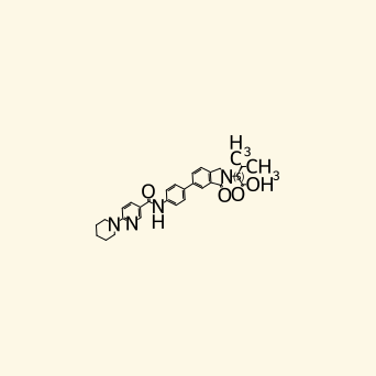 CC(C)[C@@H](C(=O)O)N1Cc2ccc(-c3ccc(NC(=O)c4ccc(N5CCCCC5)nc4)cc3)cc2C1=O